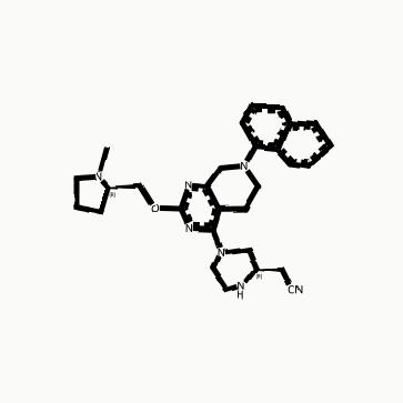 CN1CCC[C@@H]1COc1nc2c(c(N3CCN[C@H](CC#N)C3)n1)CCN(c1cccc3ccccc13)C2